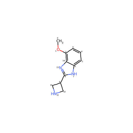 COc1cccc2[nH]c(C3CNC3)nc12